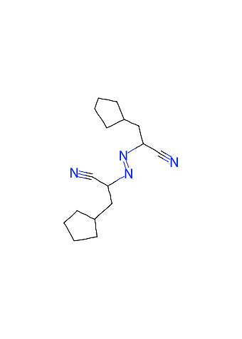 N#CC(CC1CCCC1)N=NC(C#N)CC1CCCC1